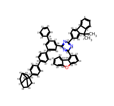 CC1(C)c2ccccc2-c2ccc(-c3nc(-c4cc(-c5ccccc5)cc(-c5ccc(-c6ccc(C78CC9CC(CC(C9)C7)C8)cc6)cc5)c4)nc(-c4cccc5oc6ccccc6c45)n3)cc21